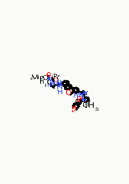 COC(=O)N[C@H](C(=O)N1[C@@H](C)CC[C@H]1c1nc2ccc3cc4c(cc3c2[nH]1)OCc1cc(-c2cnc([C@@H]3CC[C@H](C)N3C(=O)CC3(C)CCOCC3)[nH]2)ccc1-4)C(C)C